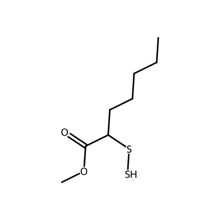 CCCCCC(SS)C(=O)OC